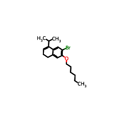 CCCCCCOc1cc2c(cc1Br)C(C(C)C)=CCC2